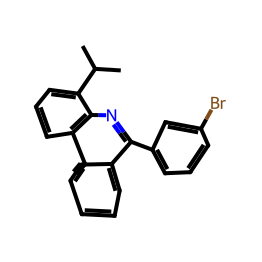 C=Cc1cccc(C(C)C)c1/N=C(\c1ccccc1)c1cccc(Br)c1